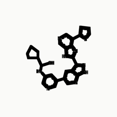 OC(Nc1cncc(-c2cnc3[nH]nc(-c4nc5c(-c6cccs6)cncc5[nH]4)c3c2)c1)C1CCCC1